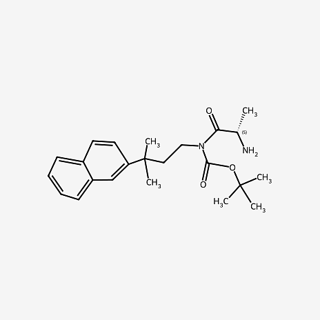 C[C@H](N)C(=O)N(CCC(C)(C)c1ccc2ccccc2c1)C(=O)OC(C)(C)C